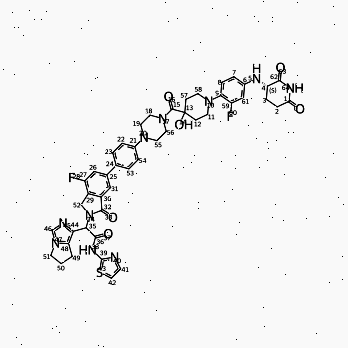 O=C1CC[C@H](Nc2ccc(N3CCC(O)(C(=O)N4CCN(c5ccc(-c6cc(F)c7c(c6)C(=O)N(C(C(=O)Nc6nccs6)c6ncn8c6CCC8)C7)cc5)CC4)CC3)c(F)c2)C(=O)N1